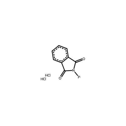 Cl.Cl.O=C1c2ccccc2C(=O)N1[P]